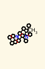 CC1(c2ccccc2)C2=C(C=CCC2)c2c(-c3ccc(N(c4ccccc4-c4cccc5cccc(-c6ccccc6)c45)c4ccccc4-c4cccc5c4c4ccccc4n5-c4ccccc4)cc3)cccc21